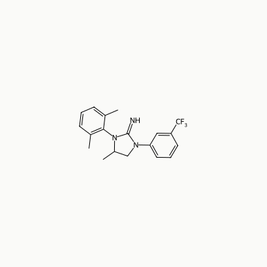 Cc1cccc(C)c1N1C(=N)N(c2cccc(C(F)(F)F)c2)CC1C